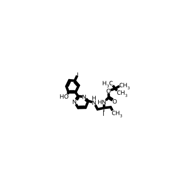 CC[C@@](I)(CNc1ccnc(-c2cc(I)ccc2O)n1)NC(=O)OC(C)(C)C